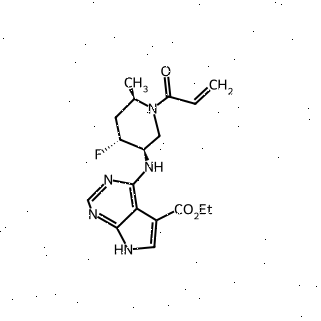 C=CC(=O)N1C[C@@H](Nc2ncnc3[nH]cc(C(=O)OCC)c23)[C@H](F)C[C@H]1C